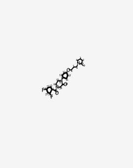 C[C@@H]1CCCN1CCCOc1ccc(N2CCN(C(=O)c3ccc(F)cc3F)CC2=O)cc1